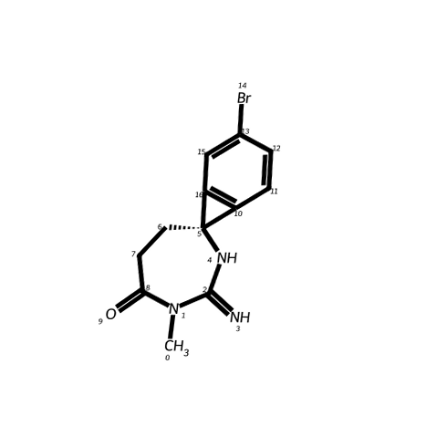 CN1C(=N)N[C@]2(CCC1=O)c1ccc(Br)cc12